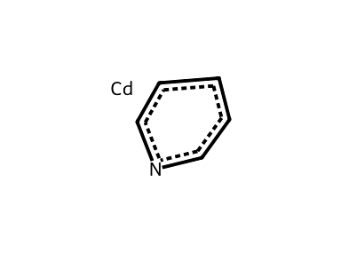 [Cd].c1ccncc1